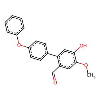 COc1cc(C=O)c(-c2ccc(Oc3ccccc3)cc2)cc1O